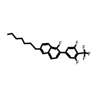 CCCCCCCc1ccc2c(F)c(-c3cc(F)c(C(F)(F)F)c(F)c3)ccc2c1